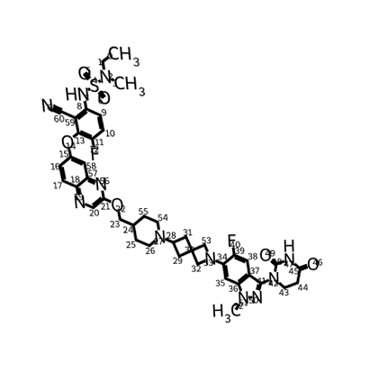 CCN(C)S(=O)(=O)Nc1ccc(F)c(Oc2ccc3ncc(OCC4CCN(C5CC6(C5)CN(c5cc7c(cc5F)c(N5CCC(=O)NC5=O)nn7C)C6)CC4)nc3c2)c1C#N